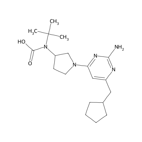 CC(C)(C)N(C(=O)O)C1CCN(c2cc(CC3CCCC3)nc(N)n2)C1